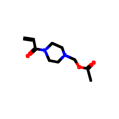 C=CC(=O)N1CCN(COC(C)=O)CC1